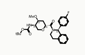 CO[C@H]1C[C@H](C(=O)N2CCc3ccccc3[C@@H]2c2ccc(F)cc2)OC[C@H]1NC(=O)OC(C)(C)C